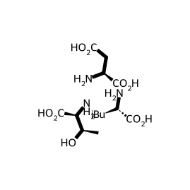 CC[C@H](C)[C@H](N)C(=O)O.C[C@@H](O)[C@H](N)C(=O)O.N[C@@H](CC(=O)O)C(=O)O